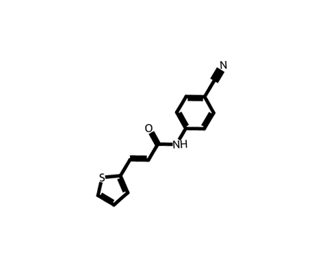 N#Cc1ccc(NC(=O)C=Cc2cccs2)cc1